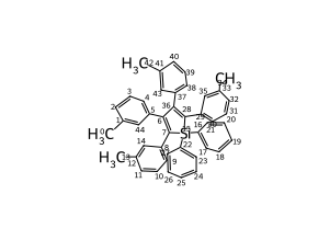 Cc1cccc(C2=C(c3cccc(C)c3)[Si](c3ccccc3)(c3ccccc3)C(c3cccc(C)c3)=C2c2cccc(C)c2)c1